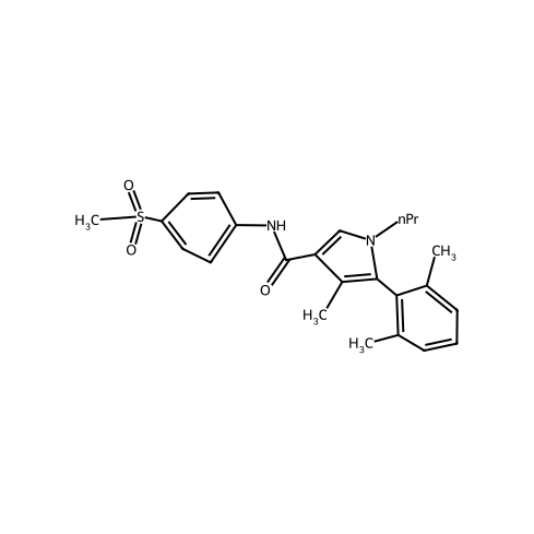 CCCn1cc(C(=O)Nc2ccc(S(C)(=O)=O)cc2)c(C)c1-c1c(C)cccc1C